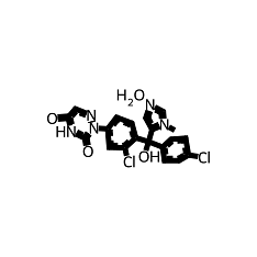 Cn1cncc1C(O)(c1ccc(Cl)cc1)c1ccc(-n2ncc(=O)[nH]c2=O)cc1Cl.O